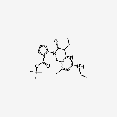 CCNc1cc(C)c2c(n1)C(CC)C(=O)N(c1cccn1C(=O)OC(C)(C)C)C2